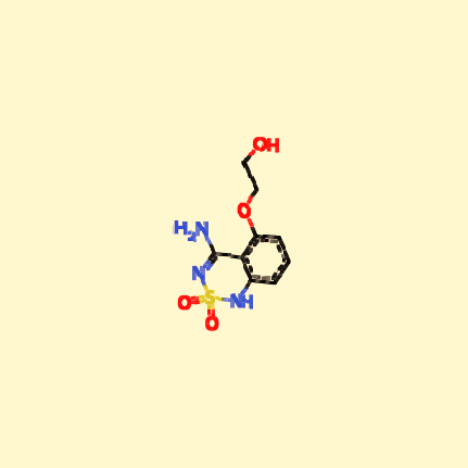 NC1=NS(=O)(=O)Nc2cccc(OCCO)c21